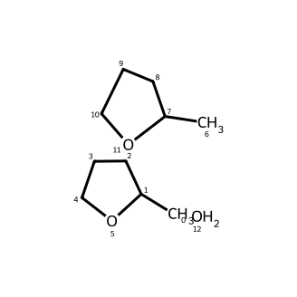 CC1CCCO1.CC1CCCO1.O